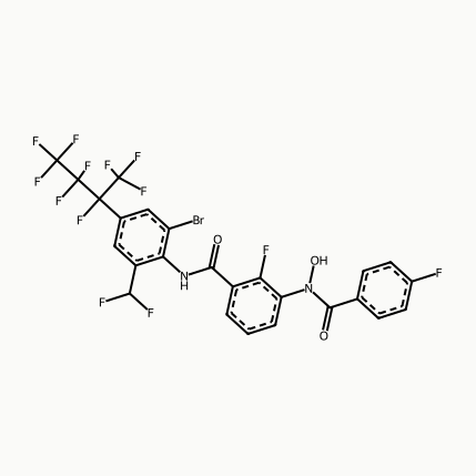 O=C(Nc1c(Br)cc(C(F)(C(F)(F)F)C(F)(F)C(F)(F)F)cc1C(F)F)c1cccc(N(O)C(=O)c2ccc(F)cc2)c1F